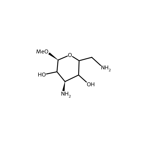 CO[C@H]1OC(CN)C(O)[C@@H](N)C1O